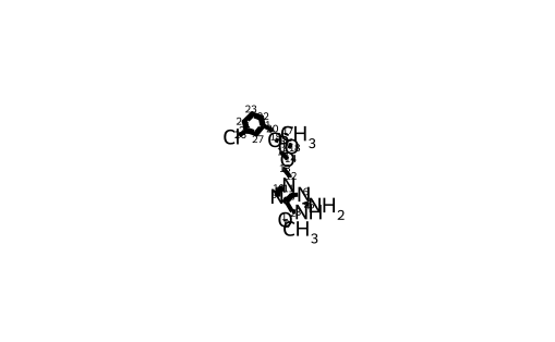 COC1NC(N)=Nc2c1ncn2CCOCP(C)(=O)OCc1cccc(Cl)c1